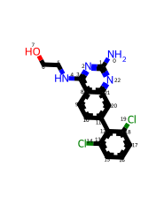 Nc1nc(NCCO)c2ccc(-c3c(Cl)cccc3Cl)cc2n1